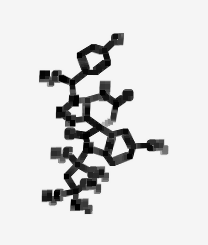 Cc1ccc2c(c1)[C@@]1(CC(=O)Nc3c1nnn3[C@@H](C)c1ccc(Cl)cc1)C(=O)N2C(C)(C)CC(C)(C)N